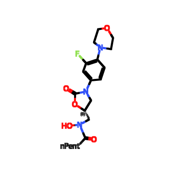 CCCCCC(=O)N(O)C[C@H]1CN(c2ccc(N3CCOCC3)c(F)c2)C(=O)O1